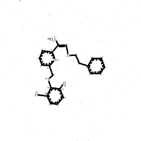 O=C(O)C(=COCCc1ccccc1)c1cccc(CSc2c(Cl)cccc2Cl)n1